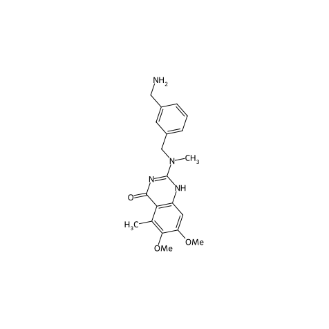 COc1cc2[nH]c(N(C)Cc3cccc(CN)c3)nc(=O)c2c(C)c1OC